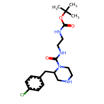 CC(C)(C)OC(=O)NCCNC(=O)N1CCNCC1Cc1ccc(Cl)cc1